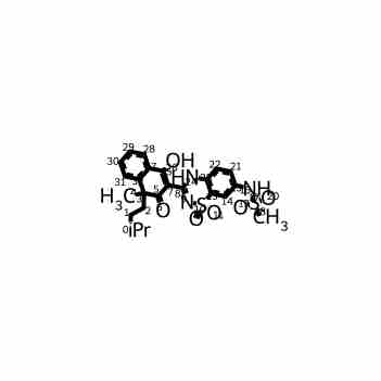 CC(C)CCC1(C)C(=O)C(C2=NS(=O)(=O)c3cc(NS(C)(=O)=O)ccc3N2)=C(O)c2ccccc21